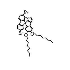 CCCCCCCCOc1cc2c(cc1OCCCCCCCC)C1(c3cc(Br)ccc3-c3ccc(Br)cc31)c1sccc1-2